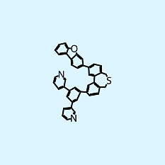 c1cncc(-c2cc(-c3cccnc3)cc(-c3ccc4c(c3)-c3cc(-c5ccc6c(c5)oc5ccccc56)ccc3CSC4)c2)c1